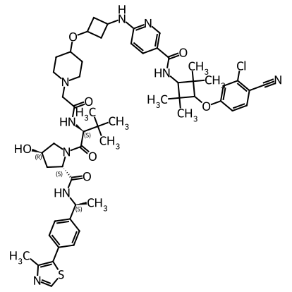 Cc1ncsc1-c1ccc([C@H](C)NC(=O)[C@@H]2C[C@@H](O)CN2C(=O)[C@@H](NC(=O)CN2CCC(OC3CC(Nc4ccc(C(=O)NC5C(C)(C)C(Oc6ccc(C#N)c(Cl)c6)C5(C)C)cn4)C3)CC2)C(C)(C)C)cc1